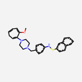 COC1=CC=CCC=C1N1CCN(Cc2ccc(NSc3ccc4ccccc4c3)cc2)CC1